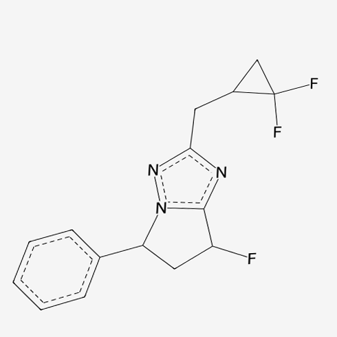 FC1CC(c2ccccc2)n2nc(CC3CC3(F)F)nc21